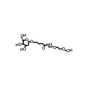 O=C(CCCCO[C@H]1C[C@@H](O)[C@@H](O)[C@@H](CO)O1)NCCOCCOCO